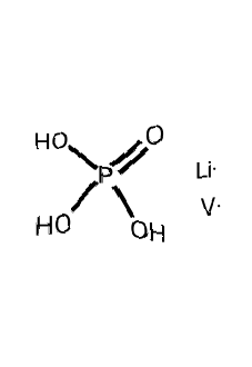 O=P(O)(O)O.[Li].[V]